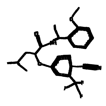 COc1ccccc1C(C)NC(=O)C(CC(C)C)Oc1ccc(C#N)c(C(F)(F)F)c1